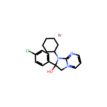 OC1(c2ccc(Cl)cc2)C[n+]2cccnc2N1C1CCCCC1.[Br-]